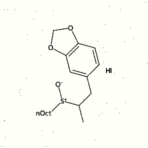 CCCCCCCC[S+]([O-])C(C)Cc1ccc2c(c1)OCO2.I